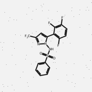 O=S(=O)(Nn1nc(C(F)(F)F)cc1-c1c(F)ccc(F)c1F)c1ccccc1